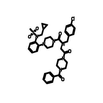 CS(=O)(=O)N(CC1CC1)c1ccccc1N1CCN(C(=O)[C@H](CC(=O)N2CCN(C(=O)c3ccccc3)CC2)Cc2ccc(Cl)cc2)CC1